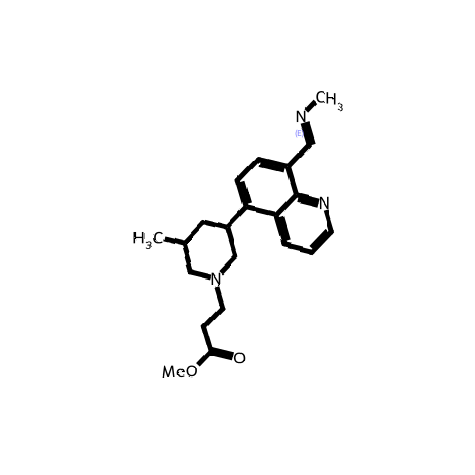 C/N=C/c1ccc(C2CC(C)CN(CCC(=O)OC)C2)c2cccnc12